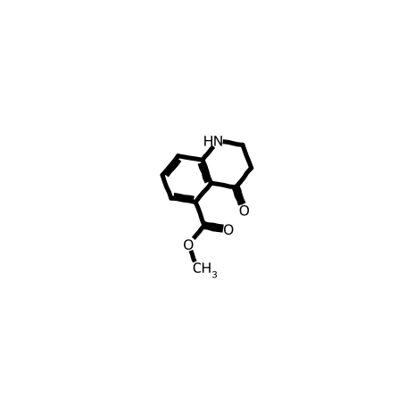 COC(=O)c1cccc2c1C(=O)CCN2